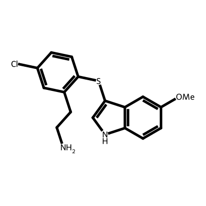 COc1ccc2[nH]cc(Sc3ccc(Cl)cc3CCN)c2c1